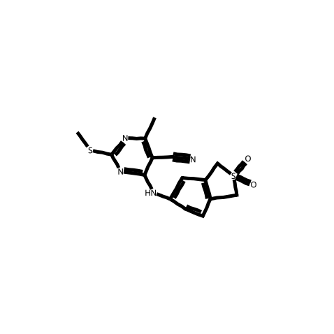 CSc1nc(C)c(C#N)c(Nc2ccc3c(c2)CS(=O)(=O)C3)n1